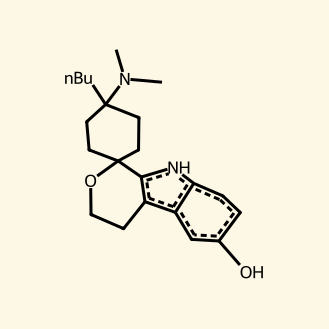 CCCCC1(N(C)C)CCC2(CC1)OCCc1c2[nH]c2ccc(O)cc12